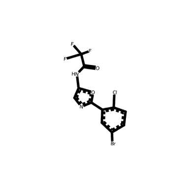 O=C(Nc1cnc(-c2cc(Br)ccc2Cl)o1)C(F)(F)F